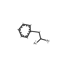 CC(=O)C(Cc1cc[c]cc1)C(C)=O